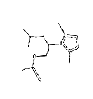 CC(=O)OCC(CC(C)C)n1c(C)ccc1C